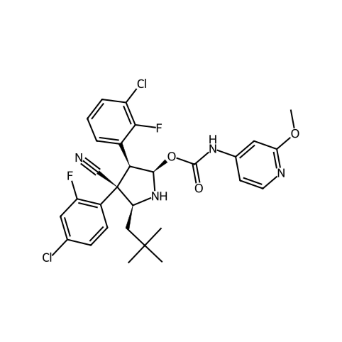 COc1cc(NC(=O)O[C@H]2N[C@@H](CC(C)(C)C)[C@](C#N)(c3ccc(Cl)cc3F)[C@H]2c2cccc(Cl)c2F)ccn1